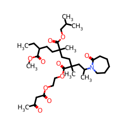 CCC(CCC(C)(CCC(C)(CC(C)N1CCCCCC1=O)C(=O)OCCOC(=O)CC(C)=O)C(=O)OCC(C)C)C(=O)OC